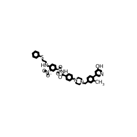 Cc1cc(CN2CCN(c3ccc(C(=O)NS(=O)(=O)c4ccc(NCCSc5ccccc5)c([N+](=O)[O-])c4)cc3)CC2)ccc1-c1cncc(O)c1